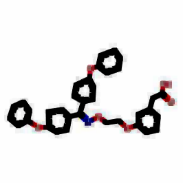 O=C(O)Cc1cccc(OCCON=C(c2ccc(Oc3ccccc3)cc2)c2ccc(Oc3ccccc3)cc2)c1